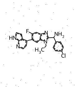 CCn1c(C(N)c2ccc(Cl)cc2)nc2cc(F)c(-c3ccnc4[nH]ccc34)cc21